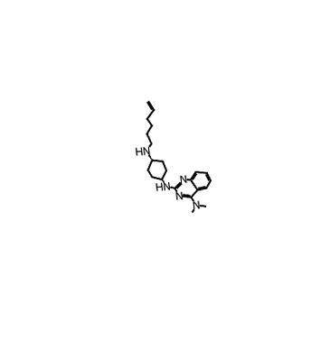 C=CCCCCN[C@H]1CC[C@@H](Nc2nc(N(C)C)c3ccccc3n2)CC1